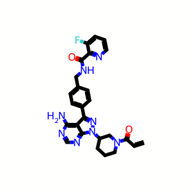 C=CC(=O)N1CCCC(n2nc(-c3ccc(CNC(=O)c4ncccc4F)cc3)c3c(N)ncnc32)C1